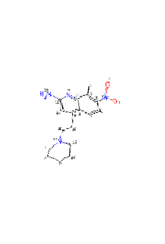 Cc1c([N+](=O)[O-])ccc2c(CCN3CCCCC3)cc(N)nc12